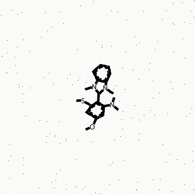 COc1cc(SC)c(C2N(C)c3ccccc3N2C)c(N(C)C)c1